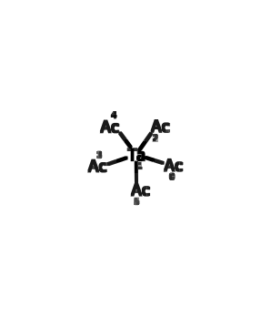 C[C](=O)[Ta]([C](C)=O)([C](C)=O)([C](C)=O)[C](C)=O